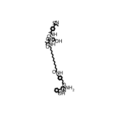 Cc1ncsc1-c1ccc([C@H](C)NC(=O)[C@@H]2C[C@@H](O)CN2C(=O)[C@@H](NC(=O)CCCCCCCCCCCCCC(=O)NCc2ccc(CCOc3cc(-c4ccccc4O)nnc3N)cc2)C(C)C)cc1